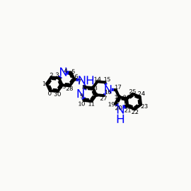 c1ccc2ncc(Nc3nccc4c3CCN(Cc3c[nH]c5ccccc35)C4)cc2c1